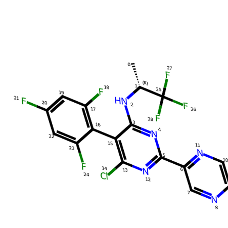 C[C@@H](Nc1nc(-c2cnccn2)nc(Cl)c1-c1c(F)cc(F)cc1F)C(F)(F)F